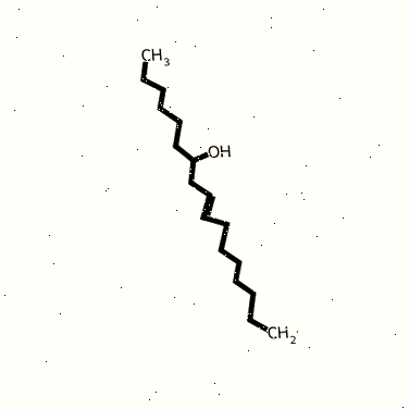 [CH2]CCCCCCC=CCC(O)CCCCCC